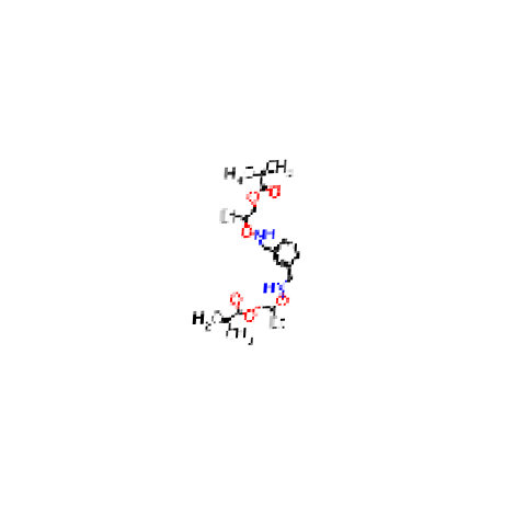 C=C(C)C(=O)OCC(CC)ONCc1cccc(CNOC(CC)COC(=O)C(=C)C)c1